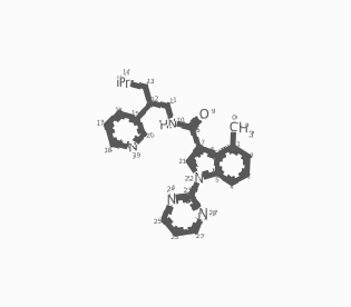 Cc1cccc2c1c(C(=O)NCC(CC(C)C)c1cccnc1)cn2-c1ncccn1